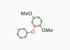 COc1ccc(OC)c(Oc2c[c]ccc2)c1